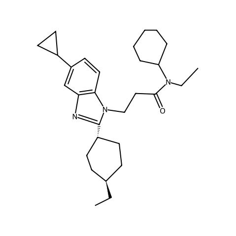 CCN(C(=O)CCn1c2ccc(C3CC3)cc2nc1[C@H]1CC[C@H](CC)CC1)C1CCCCC1